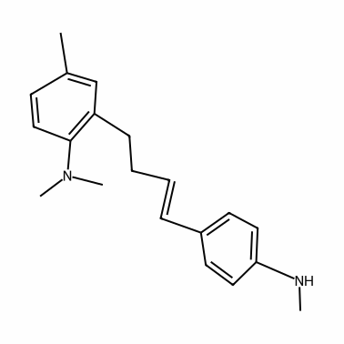 CNc1ccc(/C=C/CCc2cc(C)ccc2N(C)C)cc1